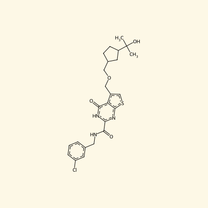 CC(C)(O)C1CCC(COCc2csc3nc(C(=O)NCc4cccc(Cl)c4)[nH]c(=O)c23)C1